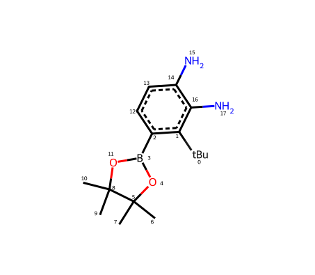 CC(C)(C)c1c(B2OC(C)(C)C(C)(C)O2)ccc(N)c1N